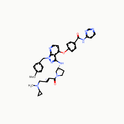 COc1ccc(Cn2nc(N[C@@H]3CCN(C(=O)/C=C/CN(C)C4CC4)C3)c3c(Oc4ccc(C(=O)Nc5ccncn5)cc4)ccnc32)cc1